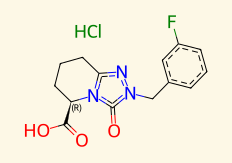 Cl.O=C(O)[C@H]1CCCc2nn(Cc3cccc(F)c3)c(=O)n21